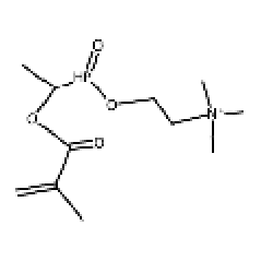 C=C(C)C(=O)OC(C)[PH](=O)OCC[N+](C)(C)C